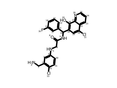 NCc1cc(NCC(=O)NC(c2cccc(F)c2)c2cc(Cl)c3cccnc3c2O)ccc1Cl